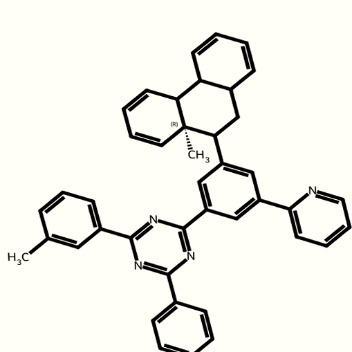 Cc1cccc(-c2nc(-c3ccccc3)nc(-c3cc(-c4ccccn4)cc(C4CC5C=CC=CC5C5C=CC=C[C@]45C)c3)n2)c1